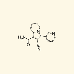 N#Cc1c(C(N)=O)c2n(c1-c1cccnc1)CCC=C2